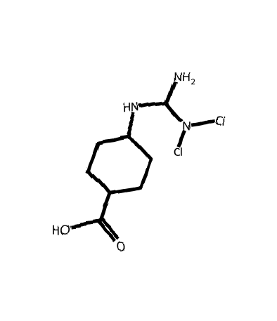 NC(NC1CCC(C(=O)O)CC1)N(Cl)Cl